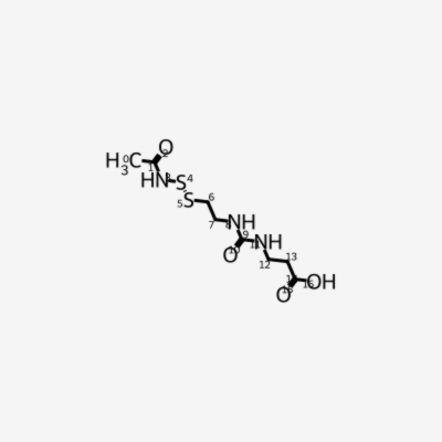 CC(=O)NSSCCNC(=O)NCCC(=O)O